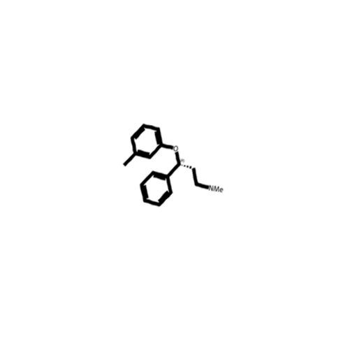 CNCC[C@@H](Oc1cccc(C)c1)c1ccccc1